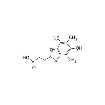 Cc1c(C)c2c(c(C)c1O)SC(CCC(=O)O)O2